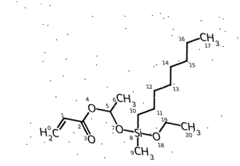 C=CC(=O)OC(C)O[Si](C)(CCCCCCCC)OCC